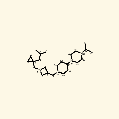 CC(C)CC1(CN2CC(CN3CCC(N4CCN(C(C)C)CC4)CC3)C2)CC1